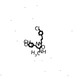 CNc1cc(-c2ccc(OC)cc2)nn(CC=Cc2ccc(Cl)cc2)c1=O